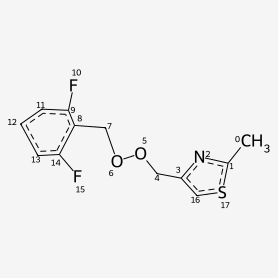 Cc1nc(COOCc2c(F)cccc2F)cs1